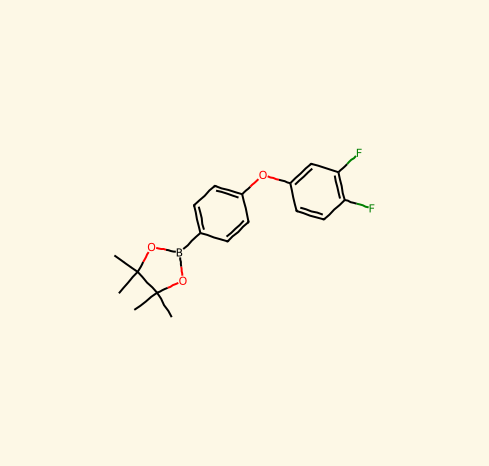 CC1(C)OB(c2ccc(Oc3ccc(F)c(F)c3)cc2)OC1(C)C